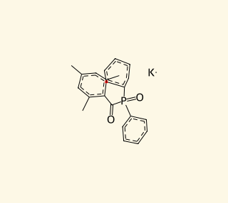 Cc1cc(C)c(C(=O)P(=O)(c2ccccc2)c2ccccc2)c(C)c1.[K]